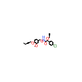 C#CCOC(C(=O)NOCc1ccc(OCC#CCC)c(OC)c1)c1ccc(Cl)cc1